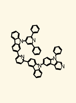 c1ccc(-c2cc(-n3c4ccccc4c4ccc(-c5cccc(-c6ccc7c(c6)c6ccccc6n7-c6ccc7c(c6)c6ccncc6n7-c6ccccc6)n5)cc43)cc(-c3ccccc3)n2)cc1